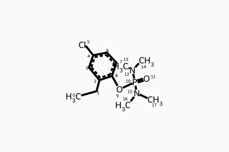 CCc1cc(Cl)ccc1OP(=O)(N(C)C)N(C)C